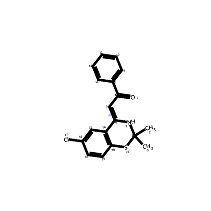 CC1(C)N/C(=C\C(=O)c2ccccc2)c2cc(Cl)ccc2S1